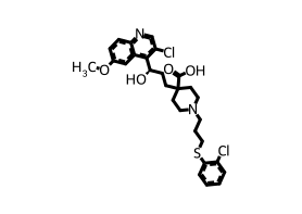 COc1ccc2ncc(Cl)c([C@H](O)CCC3(C(=O)O)CCN(CCCSc4ccccc4Cl)CC3)c2c1